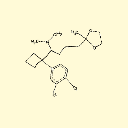 CN(C)C(CCCC1(C)OCCO1)C1(c2ccc(Cl)c(Cl)c2)CCC1